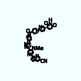 CNc1cc(-c2ccc3cc(C#N)cnn23)ncc1-c1nnc(N2CC3CC2=CN3C(=O)C2CCN(c3ccc([C@H]4CCC(=O)NC4=O)cn3)CC2)s1